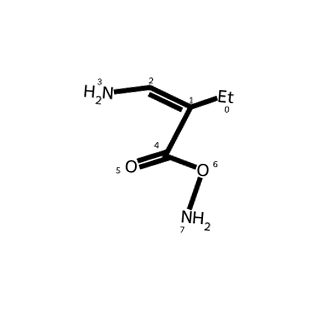 CCC(=CN)C(=O)ON